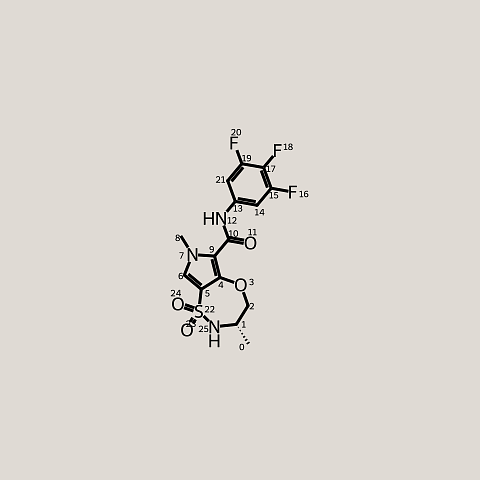 C[C@H]1COc2c(cn(C)c2C(=O)Nc2cc(F)c(F)c(F)c2)S(=O)(=O)N1